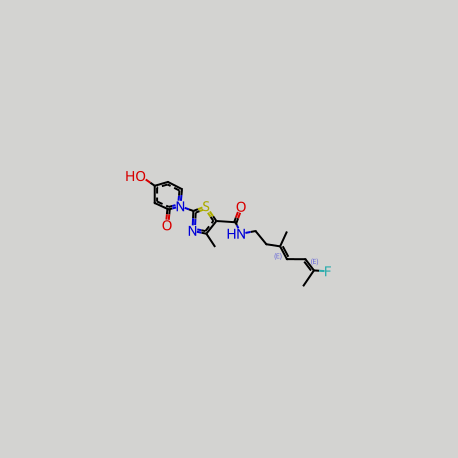 C/C(F)=C\C=C(/C)CCNC(=O)c1sc(-n2ccc(O)cc2=O)nc1C